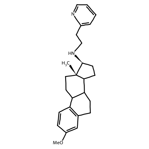 COc1ccc2c(c1)CCC1C2CC[C@@]2(C)C1CC[C@@H]2NCCc1ccccn1